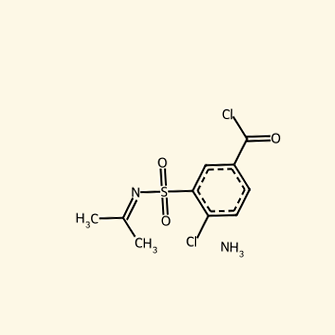 CC(C)=NS(=O)(=O)c1cc(C(=O)Cl)ccc1Cl.N